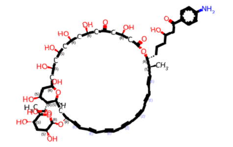 C[C@H]1/C=C/C=C/C=C\C=C/C=C/C=C/C=C/[C@H](O[C@@H]2O[C@H](C)[C@@H](O)C[C@@H]2O)C[C@@H]2O[C@](O)(C[C@@H](O)C[C@@H](O)C[C@@H](O)C[C@@H](O)CC(=O)C[C@@H](O)CC(=O)O[C@@H]1CCCC(O)CC(=O)c1ccc(N)cc1)C[C@H](O)[C@H]2C(=O)O